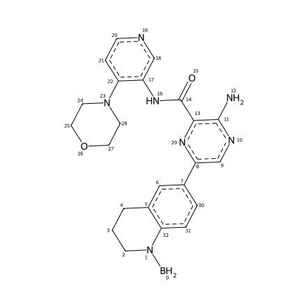 BN1CCCc2cc(-c3cnc(N)c(C(=O)Nc4cnccc4N4CCOCC4)n3)ccc21